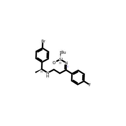 C[C@H](NCC/C(=N\[S@+]([O-])C(C)(C)C)c1ccc(F)cc1)c1ccc(Br)cc1